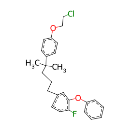 CC(C)(CCCc1ccc(F)c(Oc2ccccc2)c1)c1ccc(OCCCl)cc1